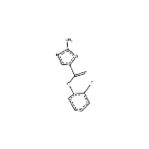 Cc1ncc(C(=O)Oc2ccccc2F)o1